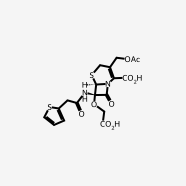 CC(=O)OCC1=C(C(=O)O)N2C(=O)[C@](NC(=O)Cc3cccs3)(OCC(=O)O)[C@H]2SC1